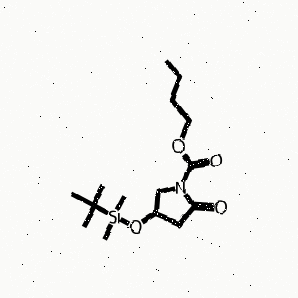 CCCCOC(=O)N1CC(O[Si](C)(C)C(C)(C)C)CC1=O